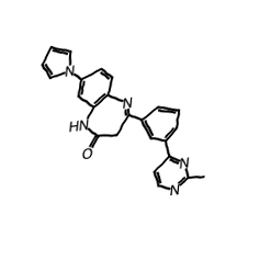 Cc1nccc(-c2cccc(C3=Nc4ccc(-n5cccc5)cc4NC(=O)C3)c2)n1